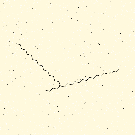 CCCCCCCCCCCCCCCCP(CCCC)CCCCCCCCCCCCCCCC